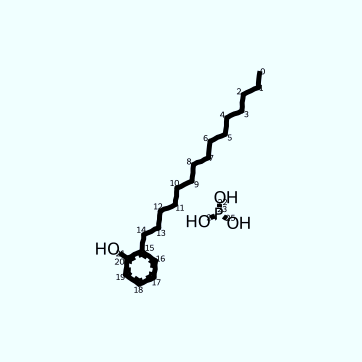 CCCCCCCCCCCCCCCc1ccccc1O.OP(O)O